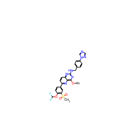 CC(C)Oc1nc(NCc2ccc(-n3cncn3)cc2)nc2ccc(-c3ccc(OC(F)F)c(S(C)(=O)=O)c3)nc12